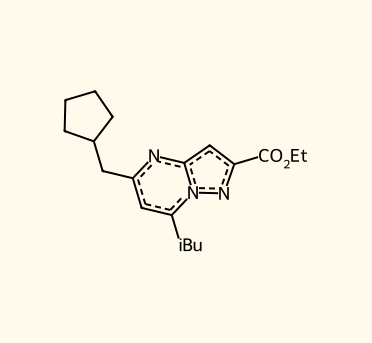 CCOC(=O)c1cc2nc(CC3CCCC3)cc(C(C)CC)n2n1